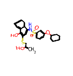 C=C(O)CSc1cc(NS(=O)(=O)c2cccc(OC3CCCCC3)c2)c2ccccc2c1O